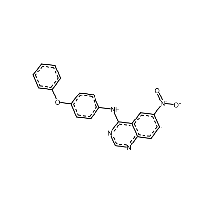 O=[N+]([O-])c1[c]cc2ncnc(Nc3ccc(Oc4ccccc4)cc3)c2c1